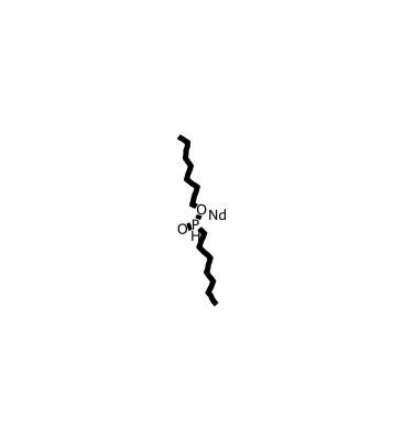 CCCCCCCO[PH](=O)CCCCCCC.[Nd]